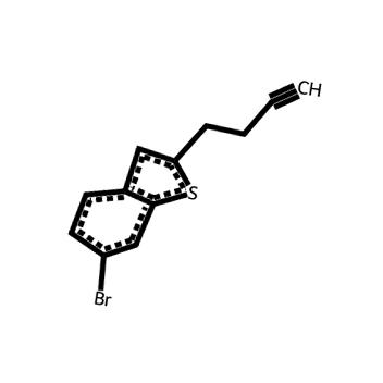 C#CCCc1cc2ccc(Br)cc2s1